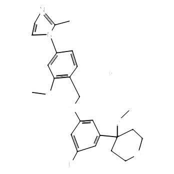 COc1cc(-n2ccnc2C)ccc1COc1cc(F)cc(C2(OC)CCOCC2)c1.Cl